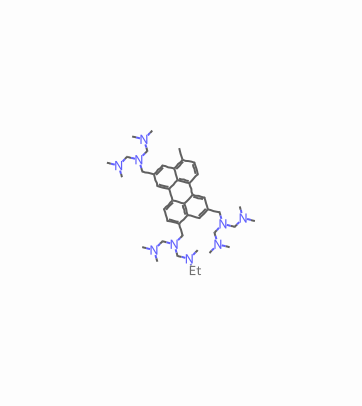 CCN(C)CN(Cc1ccc2c3cc(CN(CN(C)C)CN(C)C)cc4c(C)ccc(c5cc(CN(CN(C)C)CN(C)C)cc1c25)c43)CN(C)C